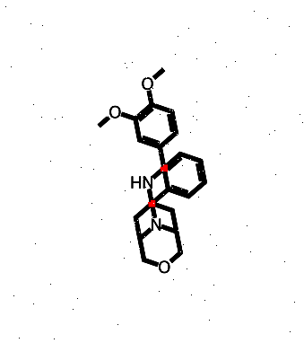 COc1ccc(CNC2CC3COCC(C2)N3Cc2ccccc2)cc1OC